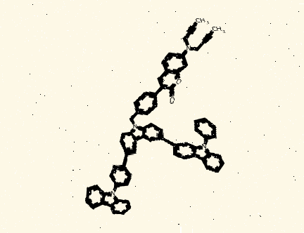 CC#CCN(CC#CC)c1ccc2cc(-c3ccc(Cn4c5ccc(-c6ccc(-n7c8ccccc8c8ccccc87)cc6)cc5c5cc(-c6ccc7c8ccccc8n(-c8ccccc8)c7c6)ccc54)cc3)c(=O)oc2c1